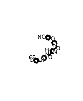 N#Cc1ccc(OC2CCN(C(=O)c3ccc(C(=O)NC4CCN(Cc5ccc(OC(F)(F)F)cc5)CC4)cn3)CC2)cc1